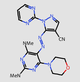 CNc1nc(NC)c(/N=N/c2c(C#N)cnn2-c2ncccn2)c(N2CCOCC2)n1